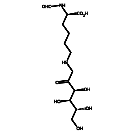 O=CN[C@H](CCCCNCC(=O)[C@@H](O)[C@H](O)[C@H](O)CO)C(=O)O